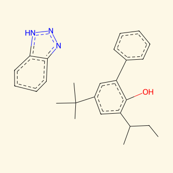 CCC(C)c1cc(C(C)(C)C)cc(-c2ccccc2)c1O.c1ccc2[nH]nnc2c1